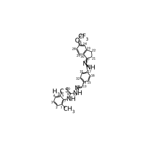 Cc1cccc(C)c1NC(=S)NN=Cc1ccc(NN=C2CCc3cc(OC(F)(F)F)ccc32)cc1